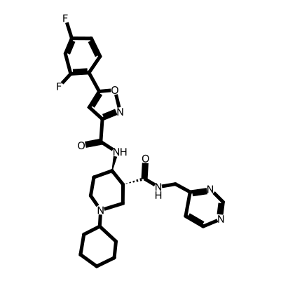 O=C(N[C@@H]1CCN(C2CCCCC2)C[C@H]1C(=O)NCc1ccncn1)c1cc(-c2ccc(F)cc2F)on1